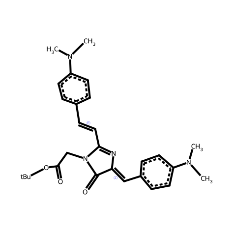 CN(C)c1ccc(/C=C2N=C(/C=C/c3ccc(N(C)C)cc3)N(CC(=O)OC(C)(C)C)C\2=O)cc1